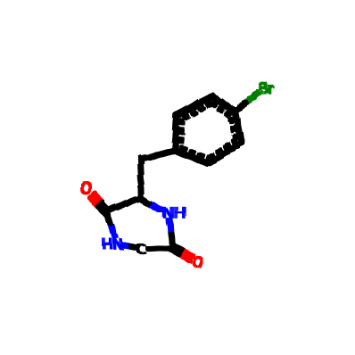 O=C1CNC(=O)C(Cc2ccc(Br)cc2)N1